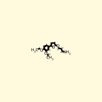 CCOc1ccc(C2CCC(OCCCN)O2)cc1OCC